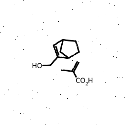 C=C(C)C(=O)O.OCC1=CC2CCC1C2